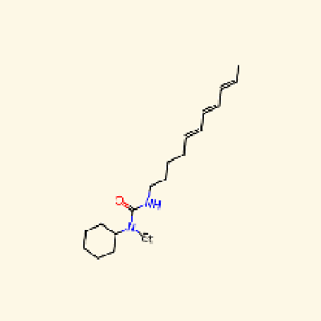 CC=CC=CC=CCCCCNC(=O)N(CC)C1CCCCC1